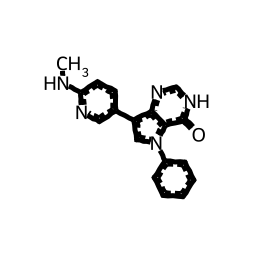 CNc1ccc(-c2cn(-c3ccccc3)c3c(=O)[nH]cnc23)cn1